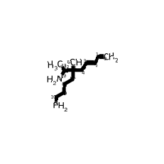 C=C/C=C/CC(C)(CCCCP)C(C)N